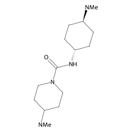 CNC1CCN(C(=O)N[C@H]2CC[C@H](NC)CC2)CC1